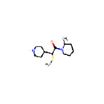 CSC(C(=O)N1CCCCC1C)C1CCNCC1